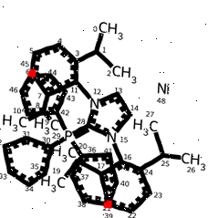 CC(C)c1cccc(C(C)C)c1-n1ccn(-c2c(C(C)C)cccc2C(C)C)c1=P(c1ccccc1)(c1ccccc1)c1ccccc1.[Ni]